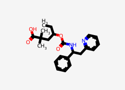 CCC(CC(C)(C)C(=O)O)OC(=O)NC(Cc1ccccn1)c1ccccc1